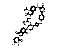 CNC(=O)COc1cc2cc(Nc3nc(N4CCC(O[C@H]5C[C@H](N6CCN(c7ccc8c(c7F)CN(C7CCC(=O)NC7=O)C8=O)[C@H](C)C6)C5)CC4)ncc3Cl)ccc2n(C(C)C)c1=O